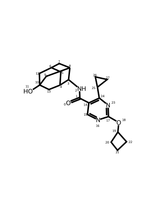 O=C(NC1C2CC3CC1CC(O)(C3)C2)c1cnc(OC2CCC2)nc1C1CC1